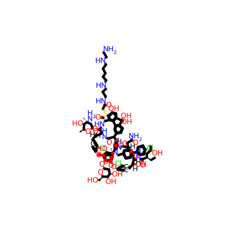 CC[C@H](CC(C)O)C(=O)N[C@H]1C(=O)C[C@@H](CC(N)=O)C(=O)N[C@H]2C(=O)C[C@H]3C(=O)N[C@H](C(=O)N[C@H](C(=O)SCC(=O)NCCCNCCCCCNCCN)c4cc(O)cc5c4-c4cc3ccc4C5(O)O)[C@H](O[C@H]3C[C@](C)(N)[C@@H](O)[C@H](C)O3)c3ccc(c(Cl)c3)Oc3cc2cc(c3O[C@@H]2O[C@H](CO)[C@@H](O)[C@H](O)[C@H]2O[C@H]2C[C@](C)(NCc3ccc(-c4ccc(Cl)cc4)cc3)[C@@H](O)[C@H](C)O2)Oc2ccc(cc2Cl)[C@H]1O